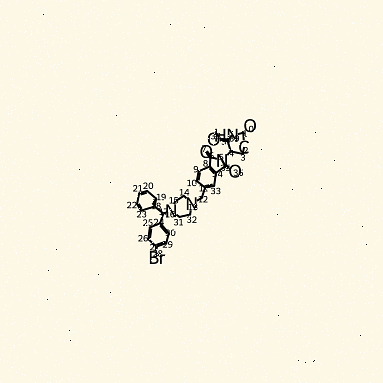 O=C1CCC(N2C(=O)c3ccc(CN4CCN(C(c5ccccc5)c5ccc(Br)cc5)CC4)cc3C2=O)C(=O)N1